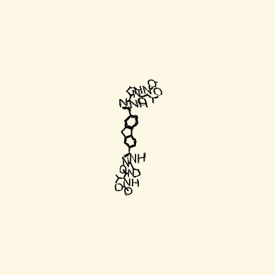 COC(=O)NC(C(=O)N1CCCC1c1ncc(-c2ccc3c(c2)Cc2cc(-c4cnc(C5CCCN5C(=O)C(NC(=O)OC)C(C)C)[nH]4)ccc2-3)[nH]1)C(C)C